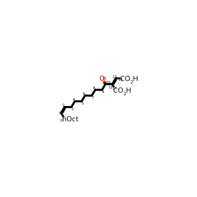 CCCCCCCC/C=C\CCCCCCCC(=O)/C(=C/C(=O)O)C(=O)O